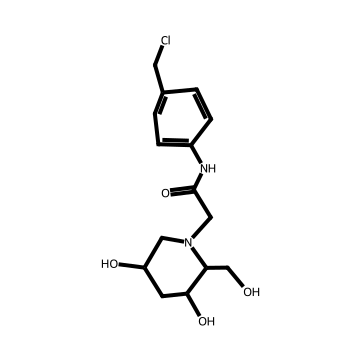 O=C(CN1CC(O)CC(O)C1CO)Nc1ccc(CCl)cc1